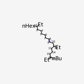 [CH2]CCCCCC(CC)CCCCC/C=C/CC(CC)CCCC(CC)CCC[CH2]